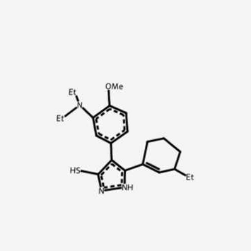 CCC1C=C(c2[nH]nc(S)c2-c2ccc(OC)c(N(CC)CC)c2)CCC1